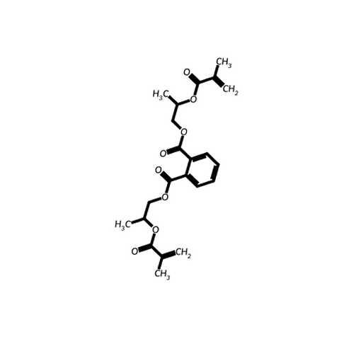 C=C(C)C(=O)OC(C)COC(=O)c1ccccc1C(=O)OCC(C)OC(=O)C(=C)C